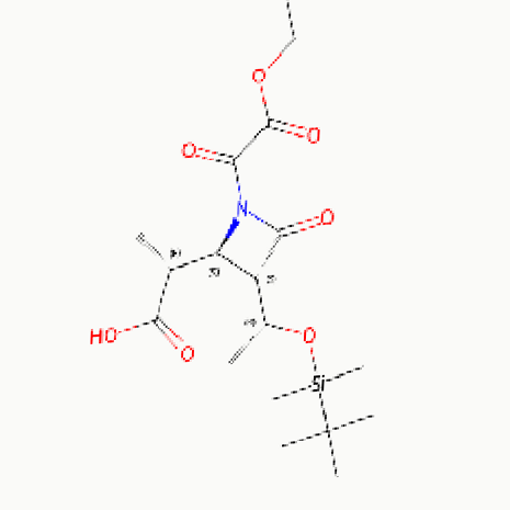 CCOC(=O)C(=O)N1C(=O)[C@H]([C@@H](C)O[Si](C)(C)C(C)(C)C)[C@H]1[C@@H](C)C(=O)O